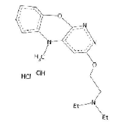 CCN(CC)CCOc1cc2c(nn1)Oc1ccccc1N2C.Cl.Cl